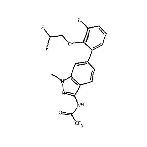 Cn1nc(NC(=O)C(F)(F)F)c2ccc(-c3cccc(F)c3OCC(F)F)cc21